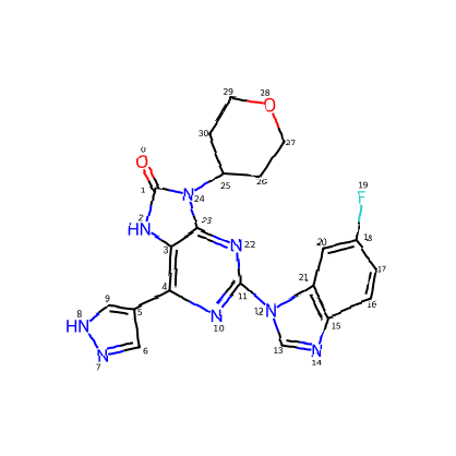 O=c1[nH]c2c(-c3cn[nH]c3)nc(-n3cnc4ccc(F)cc43)nc2n1C1CCOCC1